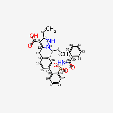 CCCN1NC(CC)C(C(=O)O)=C1Cc1ccc(-c2ccccc2S(=O)(=O)NC(=O)c2ccccc2)cc1